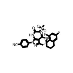 CS(=O)(=O)CC(=O)Nc1c2c(nn1-c1ccc(C#N)cc1)C[C@]1(CCCc3cc(F)cc(F)c31)NC2=O